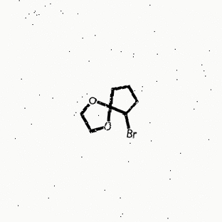 BrC1CCCC12OCCO2